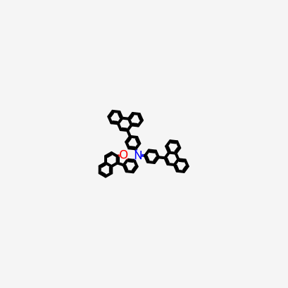 c1ccc2c(c1)cc(-c1ccc(N(c3ccc(-c4cc5ccccc5c5ccccc45)cc3)c3cccc4c3oc3ccc5ccccc5c34)cc1)c1ccccc12